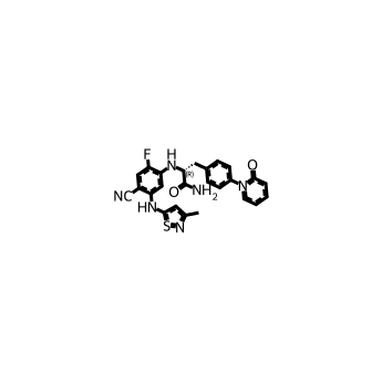 Cc1cc(Nc2cc(N[C@H](Cc3ccc(-n4ccccc4=O)cc3)C(N)=O)c(F)cc2C#N)sn1